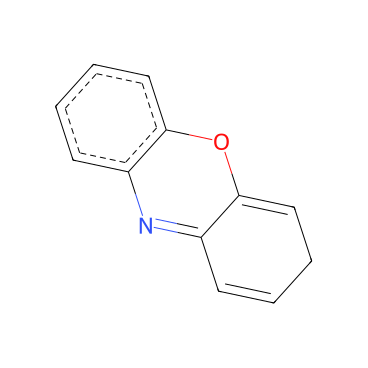 C1=CC2=Nc3ccccc3OC2=CC1